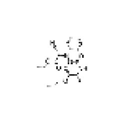 CCCOC(=O)[C@H](C)NP(O/N=C(/C#N)C(=O)OCC)Oc1ccccc1